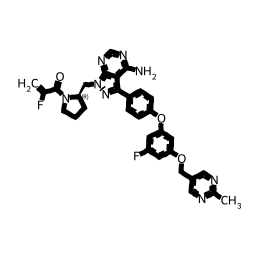 C=C(F)C(=O)N1CCC[C@@H]1Cn1nc(-c2ccc(Oc3cc(F)cc(OCc4cnc(C)nc4)c3)cc2)c2c(N)ncnc21